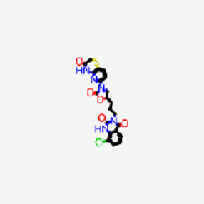 O=C1CSc2ccc(N3CC(CCCn4c(=O)[nH]c5c(Cl)cccc5c4=O)OC3=O)nc2N1